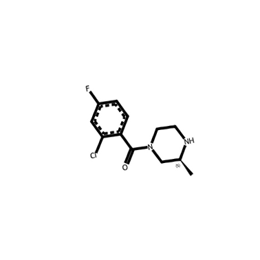 C[C@H]1CN(C(=O)c2ccc(F)cc2Cl)CCN1